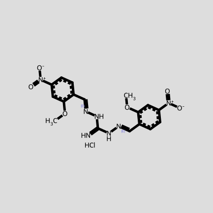 COc1cc([N+](=O)[O-])ccc1/C=N/NC(=N)N/N=C/c1ccc([N+](=O)[O-])cc1OC.Cl